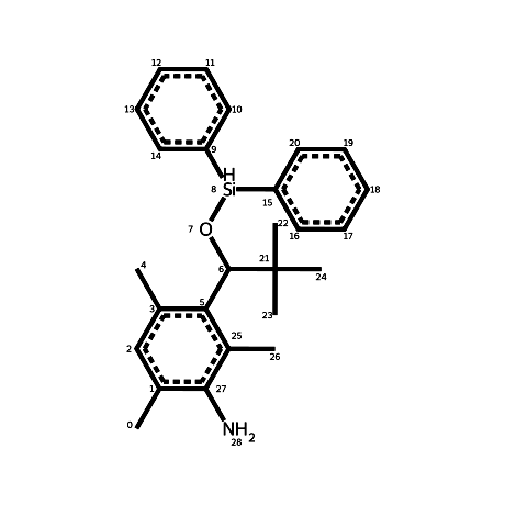 Cc1cc(C)c(C(O[SiH](c2ccccc2)c2ccccc2)C(C)(C)C)c(C)c1N